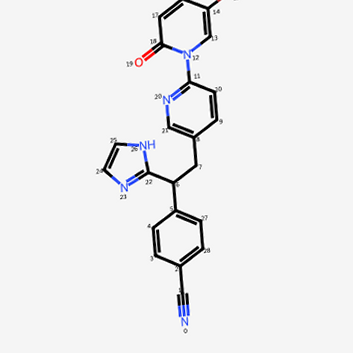 N#Cc1ccc(C(Cc2ccc(-n3cc(Br)ccc3=O)nc2)c2ncc[nH]2)cc1